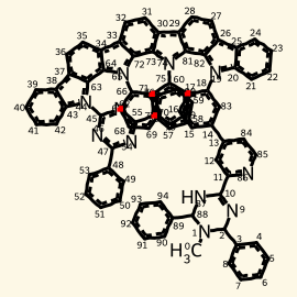 CN1C(c2ccccc2)N=C(c2cc(-c3cccc(-n4c5ccccc5c5ccc6c7ccc8c9ccc%10c%11ccccc%11n(-c%11nc(-c%12ccccc%12)nc(-c%12ccccc%12)n%11)c%10c9n(-c9ccccc9)c8c7n(-c7ccccc7)c6c54)c3)ccn2)NC1c1ccccc1